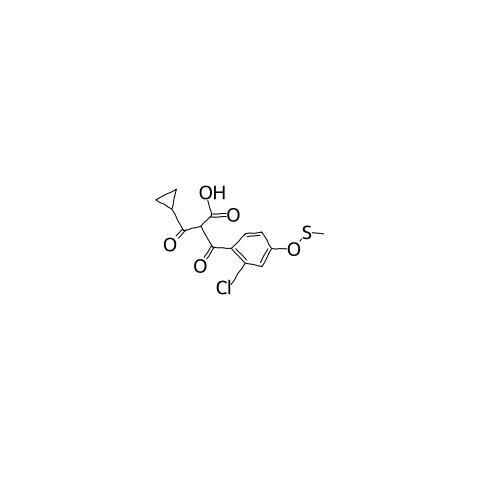 CSOc1ccc(C(=O)C(C(=O)O)C(=O)C2CC2)c(Cl)c1